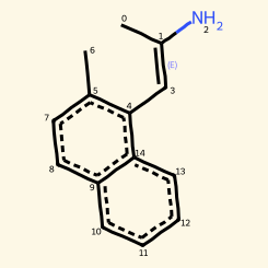 C/C(N)=C\c1c(C)ccc2ccccc12